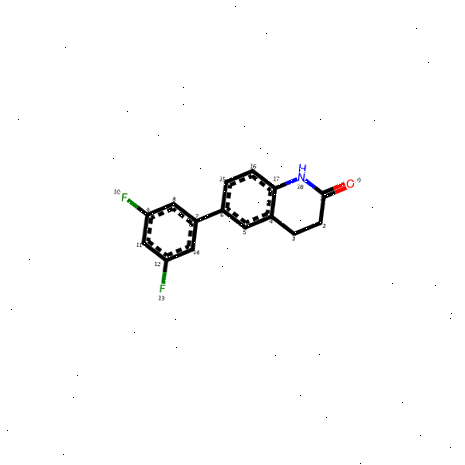 O=C1CCc2cc(-c3cc(F)cc(F)c3)ccc2N1